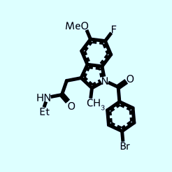 CCNC(=O)Cc1c(C)n(C(=O)c2ccc(Br)cc2)c2cc(F)c(OC)cc12